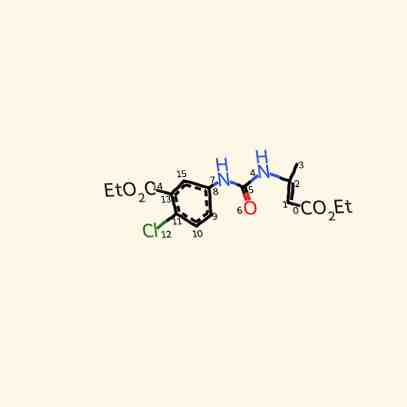 CCOC(=O)C=C(C)NC(=O)Nc1ccc(Cl)c(C(=O)OCC)c1